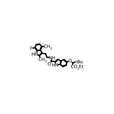 CCCCC(Oc1ccc2[nH]c(C(=O)NCCc3c(C)[nH]c4c(F)ccc(C)c34)cc2c1)C(=O)OCC